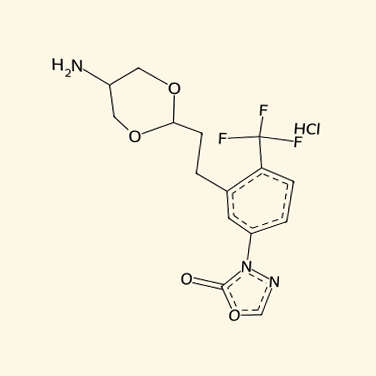 Cl.NC1COC(CCc2cc(-n3ncoc3=O)ccc2C(F)(F)F)OC1